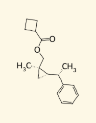 C[C@H](c1ccccc1)[C@@H]1C[C@@]1(C)COC(=O)C1CCC1